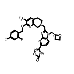 O=c1[nH]c(-c2ccc3c(n2)nc(CN2CCc4cc(C(F)(F)F)c(OCc5ccc(Cl)cc5F)nc4C2)n3C[C@@H]2CCO2)no1